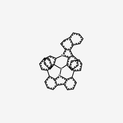 c1ccc(-c2cccc3c4cccc(-c5ccccc5)c4n(B4c5ccccc5-n5c6ccc7ccccc7c6c6cccc4c65)c23)cc1